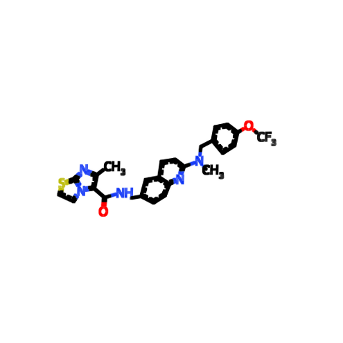 Cc1nc2sccn2c1C(=O)NCc1ccc2nc(N(C)Cc3ccc(OC(F)(F)F)cc3)ccc2c1